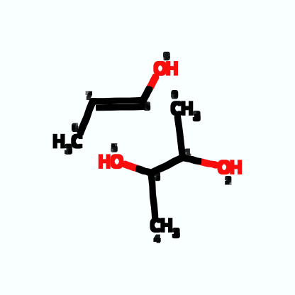 CC(O)C(C)O.CC=CO